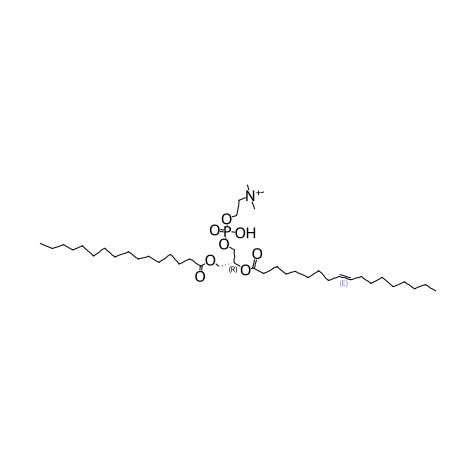 CCCCCCCC/C=C/CCCCCCCC(=O)O[C@H](COC(=O)CCCCCCCCCCCCCCC)COP(=O)(O)OCC[N+](C)(C)C